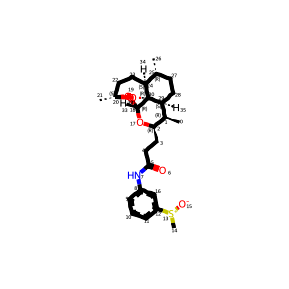 C[C@H]1[C@@H](CCC(=O)Nc2cccc([S+](C)[O-])c2)O[C@@H]2O[C@]3(C)CC[C@H]4[C@H](C)CC[C@@H]1[C@@]24OO3